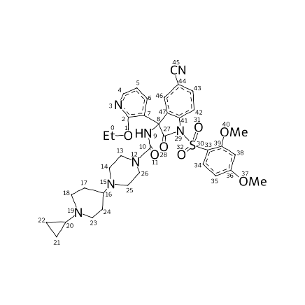 CCOc1ncccc1C1(NC(=O)N2CCN(C3CCN(C4CC4)CC3)CC2)C(=O)N(S(=O)(=O)c2ccc(OC)cc2OC)c2ccc(C#N)cc21